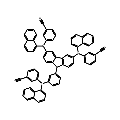 N#Cc1cccc(N(c2cccc(-n3c4ccc(N(c5cccc(C#N)c5)c5cccc6ccccc56)cc4c4cc(N(c5cccc(C#N)c5)c5cccc6ccccc56)ccc43)c2)c2cccc3ccccc23)c1